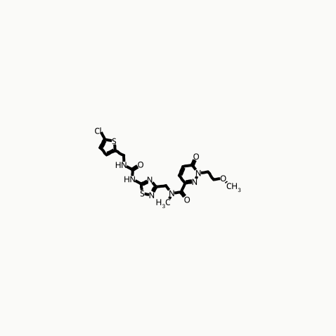 COCCn1nc(C(=O)N(C)Cc2nsc(NC(=O)NCc3ccc(Cl)s3)n2)ccc1=O